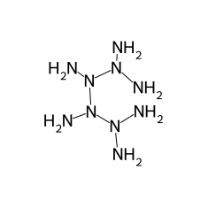 NN(N)N(N)N(N)N(N)N